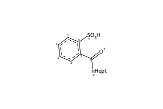 CCCCCCCC(=O)c1ccccc1S(=O)(=O)O